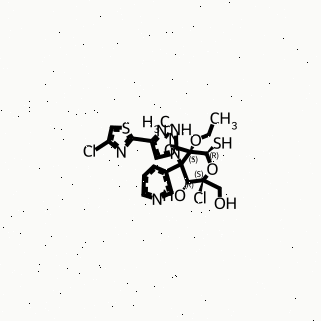 CCO[C@@]1(C(=O)NC)[C@@H](S)O[C@](Cl)(CO)[C@H](O)C1(c1cccnc1)n1cc(-c2nc(Cl)cs2)nn1